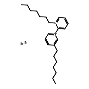 CCCCCCCc1ccc[n+](-c2cccc[n+]2CCCCCCC)c1.[Br-].[Br-]